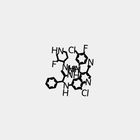 N#Cc1cnc2c(Cl)cc(N[C@H](C3=CN(C4CCNCC4F)NN3)c3ccccc3)cc2c1Nc1ccc(F)c(Cl)c1